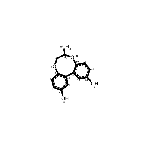 C[C@@H]1COc2ccc(O)cc2-c2cc(O)ccc2O1